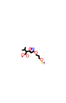 COC(=O)C(c1cc(OCCCOSI)no1)C(C)C